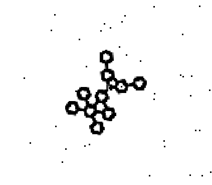 C1=CC2C(C=C1c1ccccc1)c1cc(-c3ccccc3)ccc1N2c1ccc2c3c(c4ccccc4c2c1)=C(c1ccccc1)CC(c1ccccc1)C=3c1ccccc1